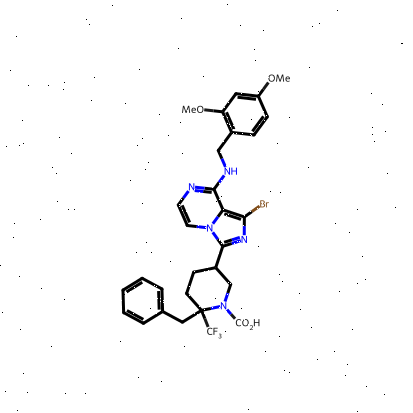 COc1ccc(CNc2nccn3c(C4CCC(Cc5ccccc5)(C(F)(F)F)N(C(=O)O)C4)nc(Br)c23)c(OC)c1